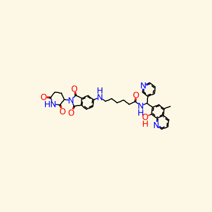 Cc1cc(C(NC(=O)CCCCCNc2ccc3c(c2)C(=O)N(C2CCC(=O)NC2=O)C3=O)c2cccnc2)c(O)c2ncccc12